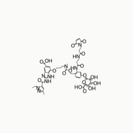 CCn1nc(C)cc1C(=O)Nc1nc2cc(C(=O)O)cc(OCCCN(C)C(=O)OCc3ccc(O[C@@H]4O[C@H](C(=O)O)[C@@H](O)[C@H](O)[C@H]4O)cc3NC(=O)CCNC(=O)CCN3C(=O)C=CC3=O)c2[nH]1